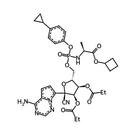 CCC(=O)O[C@H]1[C@@H](OC(=O)CC)[C@](C#N)(c2ccc3c(N)ncnn23)O[C@@H]1COP(=O)(N[C@@H](C)C(=O)OC1CCC1)Oc1ccc(C2CC2)cc1